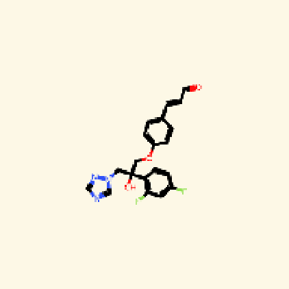 O=CC=Cc1ccc(OCC(O)(Cn2cncn2)c2ccc(F)cc2F)cc1